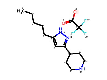 CCCCCc1cc(C2CCNCC2)n[nH]1.O=C(O)C(F)(F)F